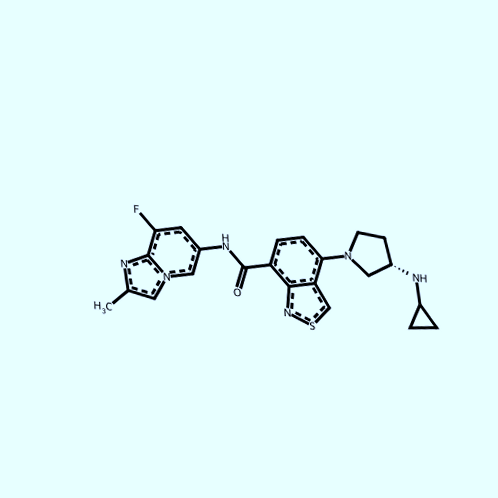 Cc1cn2cc(NC(=O)c3ccc(N4CC[C@H](NC5CC5)C4)c4csnc34)cc(F)c2n1